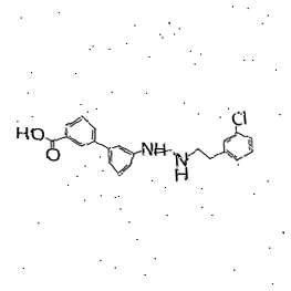 O=C(O)c1cccc(-c2cccc(NCCNCCc3cccc(Cl)c3)c2)c1